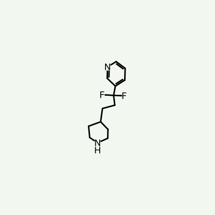 FC(F)(CCC1CCNCC1)c1cccnc1